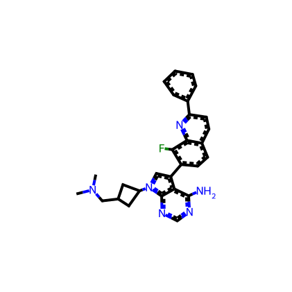 CN(C)CC1CC(n2cc(-c3ccc4ccc(-c5ccccc5)nc4c3F)c3c(N)ncnc32)C1